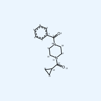 O=C(c1[c]cccc1)N1CCN(C(=O)C2CC2)CC1